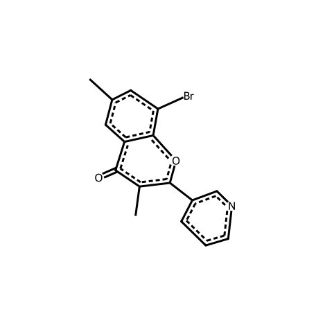 Cc1cc(Br)c2oc(-c3cccnc3)c(C)c(=O)c2c1